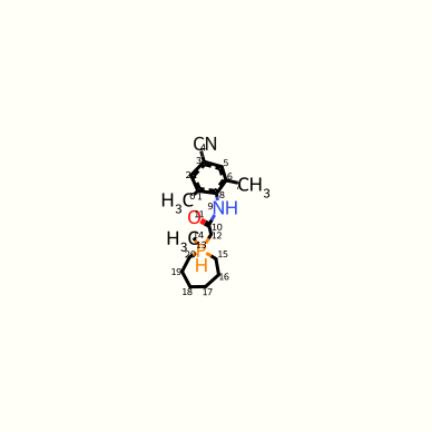 Cc1cc(C#N)cc(C)c1NC(=O)C[PH]1(C)CCCCCC1